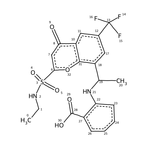 CCNS(=O)(=O)c1cc(=O)c2cc(C(F)(F)F)cc(C(C)Nc3ccccc3C(=O)O)c2o1